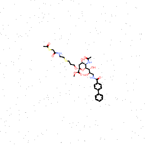 COC(=O)[C@@]1(OCCCSCCNC(=O)CSC(C)=O)C[C@@H](O)[C@@H](NC(C)=O)[C@@H]([C@H](O)[C@H](O)CNC(=O)c2ccc(-c3ccccc3)cc2)O1